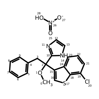 COC(Cc1ccccc1)(c1ncc[nH]1)c1csc2c(Cl)cccc12.O=[N+]([O-])O